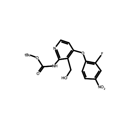 CC(C)(C)OC(=O)Nc1nccc(Oc2ccc([N+](=O)[O-])cc2F)c1CO